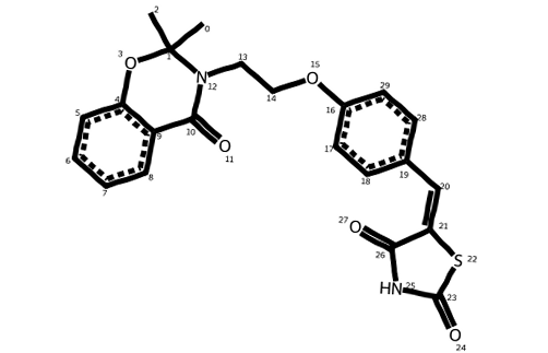 CC1(C)Oc2ccccc2C(=O)N1CCOc1ccc(C=C2SC(=O)NC2=O)cc1